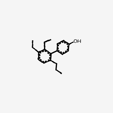 CCCc1ccc(CC)c(CC)c1-c1ccc(O)cc1